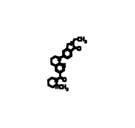 CCN1Cc2cc(N3CCCc4cc(C(=O)N5CCCC[C@@H]5C)cnc43)ccc2C1=O